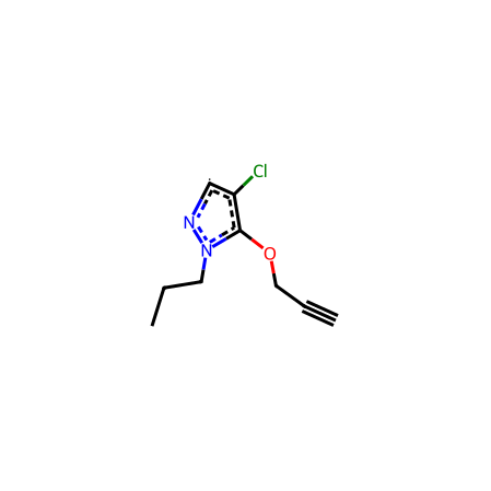 C#CCOc1c(Cl)[c]nn1CCC